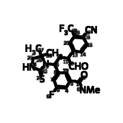 CNC(=O)c1cc(F)cc(C(CC(C=O)c2ccc(C#N)c(C(F)(F)F)c2)N2C(=S)NCC2(C)C)c1